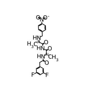 C[C@H](NCc1ccc([N+](=O)[O-])cc1)C(=O)NC(=O)[C@H](C)NC(=O)Cc1cc(F)cc(F)c1